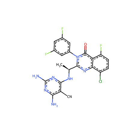 C[C@H](Nc1nc(N)nc(N)c1C#N)c1nc2c(Cl)ccc(F)c2c(=O)n1-c1cc(F)cc(F)c1